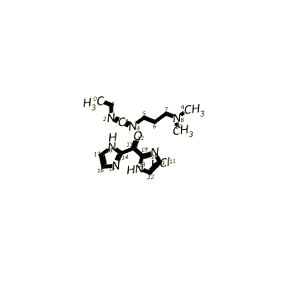 CCN=C=NCCCN(C)C.Cl.O=C(c1ncc[nH]1)c1ncc[nH]1